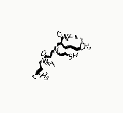 CCCCNC(=O)CCN(CCS)CC(CCCC)C(N)=O